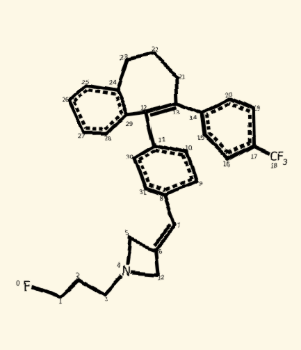 FCCCN1CC(=Cc2ccc(C3=C(c4ccc(C(F)(F)F)cc4)CCCc4ccccc43)cc2)C1